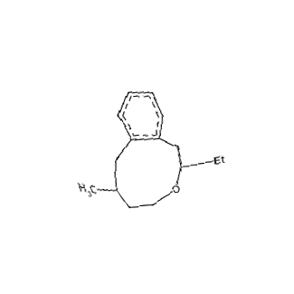 CCC1Cc2ccccc2CC(C)CCO1